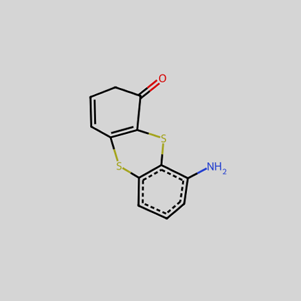 Nc1cccc2c1SC1=C(C=CCC1=O)S2